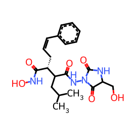 CC(C)CC(C(=O)NN1C(=O)NC(CO)C1=O)[C@@H](C/C=C\c1ccccc1)C(=O)NO